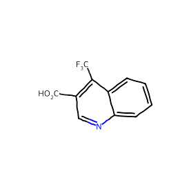 O=C(O)c1cnc2ccccc2c1C(F)(F)F